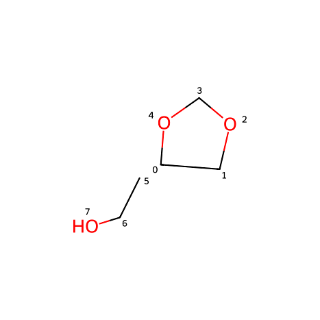 C1COCO1.CCO